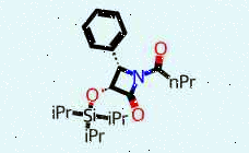 CCCC(=O)N1C(=O)[C@H](O[Si](C(C)C)(C(C)C)C(C)C)[C@@H]1c1ccccc1